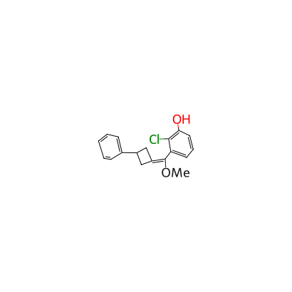 COC(=C1CC(c2ccccc2)C1)c1cccc(O)c1Cl